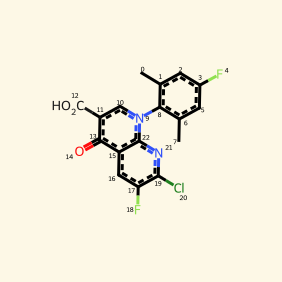 Cc1cc(F)cc(C)c1-n1cc(C(=O)O)c(=O)c2cc(F)c(Cl)nc21